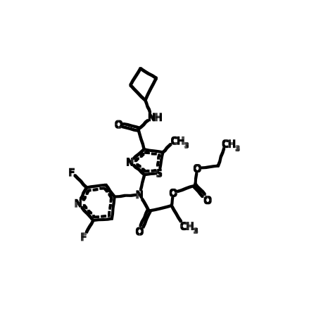 CCOC(=O)OC(C)C(=O)N(c1cc(F)nc(F)c1)c1nc(C(=O)NC2CCC2)c(C)s1